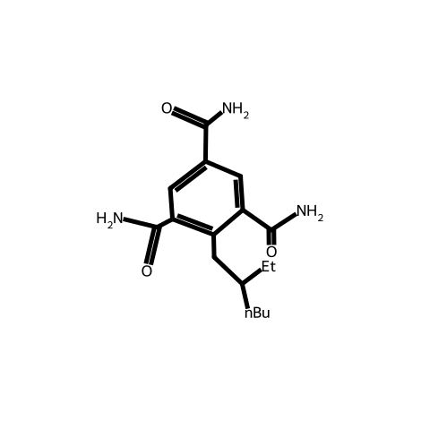 CCCCC(CC)Cc1c(C(N)=O)cc(C(N)=O)cc1C(N)=O